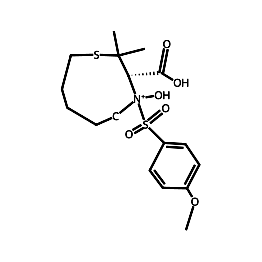 COc1ccc(S(=O)(=O)[N+]2(O)CCCCCSC(C)(C)[C@@H]2C(=O)O)cc1